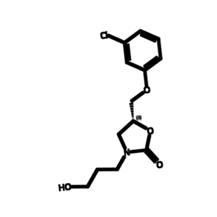 O=C1O[C@@H](COc2cccc(Cl)c2)CN1CCCO